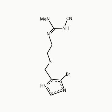 CNC(=NCCSCc1[nH]cnc1Br)NC#N